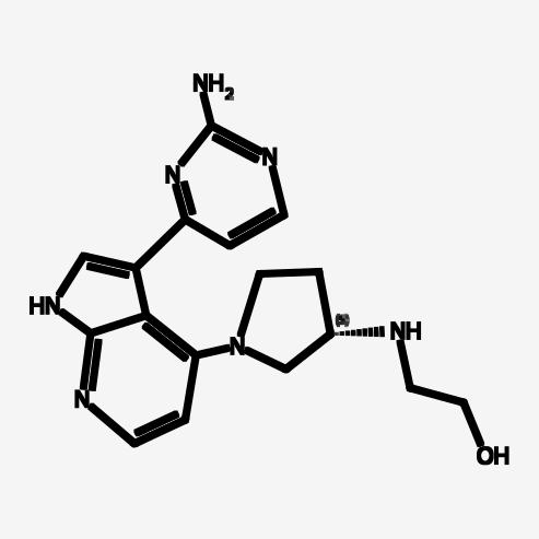 Nc1nccc(-c2c[nH]c3nccc(N4CC[C@H](NCCO)C4)c23)n1